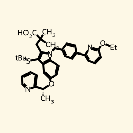 CCOc1cccc(-c2ccc(Cn3c(CC(C)(C)C(=O)O)c(SC(C)(C)C)c4cc(O[C@H](C)c5ccccn5)ccc43)cc2)n1